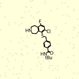 CC(C)(C)NC(=O)c1ccc(CSc2c(Cl)cc(F)c3c2CCNCC3)cc1